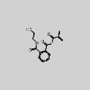 C=C(C)C(=O)OC(=O)c1ccccc1C(=O)OCCO